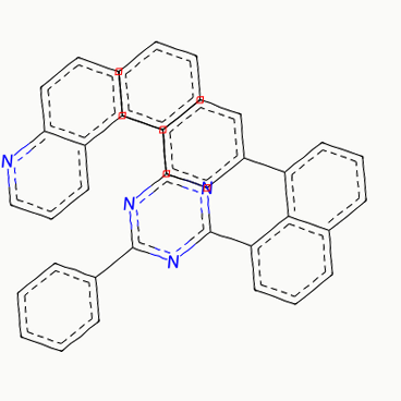 c1ccc(-c2nc(-c3ccccc3)nc(-c3cccc4cccc(-c5ccc(-c6cccc7ncccc67)cc5)c34)n2)cc1